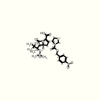 C[SiH](C)O[C@](C)([C@H]1C(=O)N2C(C(=O)O)=C([C@@H]3CSCN3C(=O)OCc3ccc([N+](=O)[O-])cc3)C[C@H]12)C(C)(C)C